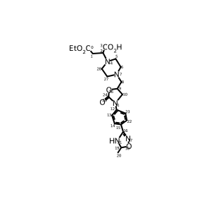 CCOC(=O)CC(C(=O)O)N1CCN(CC2CN(c3ccc(C4=NOC(C)N4)cc3)C(=O)O2)CC1